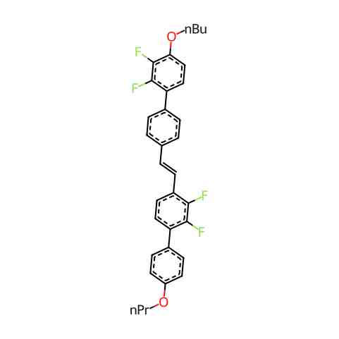 CCCCOc1ccc(-c2ccc(/C=C/c3ccc(-c4ccc(OCCC)cc4)c(F)c3F)cc2)c(F)c1F